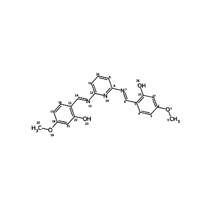 COc1ccc(/C=N/c2cccc(/N=C/c3ccc(OC)cc3O)n2)c(O)c1